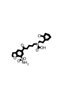 NS(=O)(=O)c1cc(C(=O)CCCCN(CCc2ccccc2Cl)C(=O)O)cc2c1OCC2